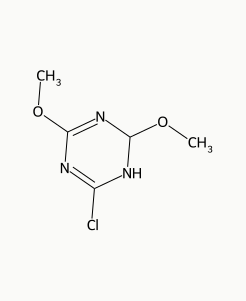 COC1=NC(OC)NC(Cl)=N1